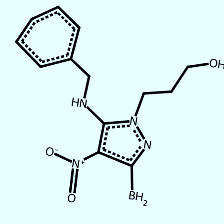 Bc1nn(CCCO)c(NCc2ccccc2)c1[N+](=O)[O-]